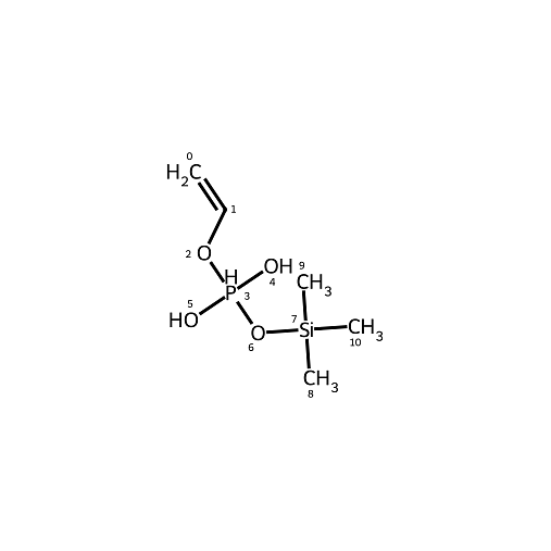 C=CO[PH](O)(O)O[Si](C)(C)C